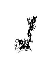 Cc1sc2c(c1C)[C@H](c1ccc(Cl)cc1)NC(CC(=O)NCCN1CCN(Cc3cc(F)c4c(c3)C(=O)N(C3CCC(=O)NC3=O)C4=O)CC1)c1nnc(C)n1-2